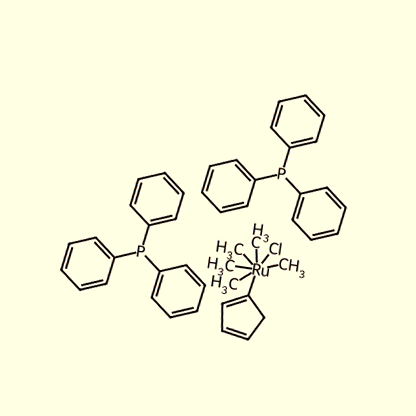 [CH3][Ru]([CH3])([CH3])([CH3])([CH3])([Cl])[C]1=CC=CC1.c1ccc(P(c2ccccc2)c2ccccc2)cc1.c1ccc(P(c2ccccc2)c2ccccc2)cc1